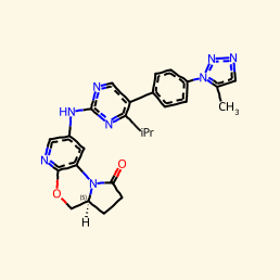 Cc1cnnn1-c1ccc(-c2cnc(Nc3cnc4c(c3)N3C(=O)CC[C@H]3CO4)nc2C(C)C)cc1